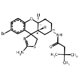 CC(C)(C)CC(=O)N[C@H]1CC[C@@H]2Oc3ccc(Br)cc3C3(CSC(N)=N3)[C@H]2C1